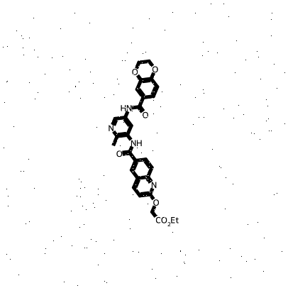 CCOC(=O)COc1ccc2cc(C(=O)Nc3cc(NC(=O)c4ccc5c(c4)OCCO5)cnc3C)ccc2n1